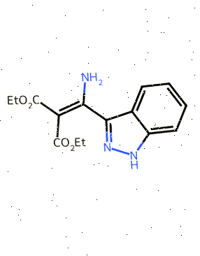 CCOC(=O)C(C(=O)OCC)=C(N)c1n[nH]c2ccccc12